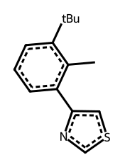 Cc1c(-c2cscn2)cccc1C(C)(C)C